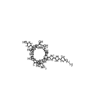 CCCCCOc1ccc(-c2ccc(-c3ccc(C(=O)NC4C[C@@H](O)C(NC(CN)CO)NC(=O)C5[C@@H](O)[C@@H](C)CN5C(=O)C([C@@H](C)O)NC(=O)C([C@H](O)[C@@H](O)c5ccc(O)cc5)NC(=O)C5C[C@@H](O)CN5C(=O)C([C@@H](C)O)NC4=O)cc3)cc2)cc1